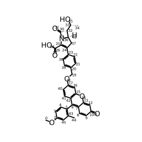 COc1ccc(-c2c3ccc(=O)cc-3oc3cc(OCc4ccc(C5=C(C(=O)O)N6C(=O)[C@H]([C@@H](C)O)[C@H]6C5)cc4)ccc23)c(C)c1